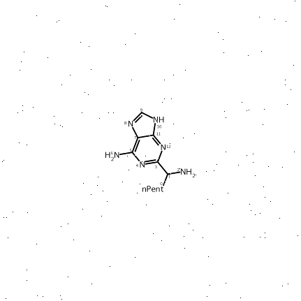 CCCCCC(N)c1nc(N)c2nc[nH]c2n1